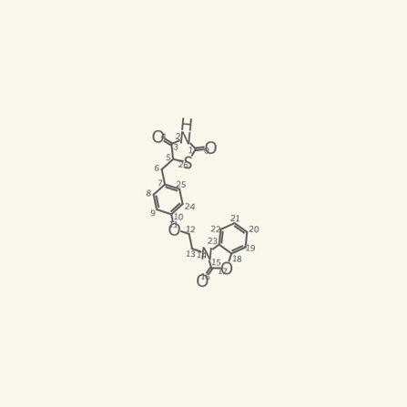 O=C1NC(=O)C(Cc2ccc(OCCn3c(=O)oc4ccccc43)cc2)S1